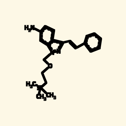 C[Si](C)(C)CCOCn1nc(C=Cc2ccccc2)c2ccc(N)cc21